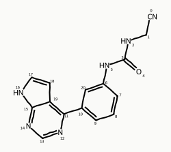 N#CCNC(=O)Nc1cccc(-c2ncnc3[nH]ccc23)c1